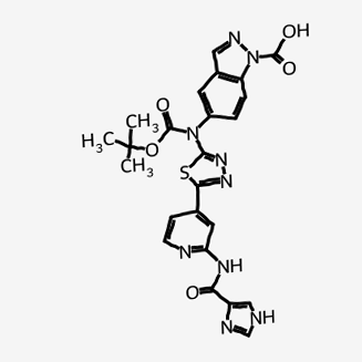 CC(C)(C)OC(=O)N(c1ccc2c(cnn2C(=O)O)c1)c1nnc(-c2ccnc(NC(=O)c3c[nH]cn3)c2)s1